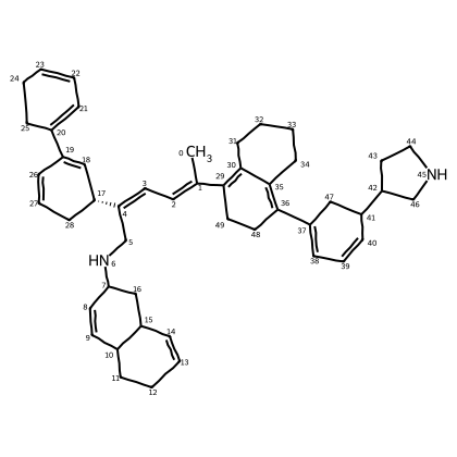 C/C(=C\C=C(/CNC1C=CC2CCC=CC2C1)[C@H]1C=C(C2=CC=CCC2)C=CC1)C1=C2CCCCC2=C(C2=CC=CC(C3CCNC3)C2)CC1